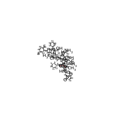 C[C@H](NC(=O)OCc1ccccc1)C(=O)N[C@@H](C)C(=O)N[C@@H](CC(N)=O)C(=O)N[C@@H](CCN(C(=O)CO)[C@@H](c1cc(-c2cc(F)ccc2F)cn1Cc1ccccc1)C(C)(C)C)C(=O)NCCS(=O)(=O)CCNC(=O)CN1C(=O)C=CC1=O